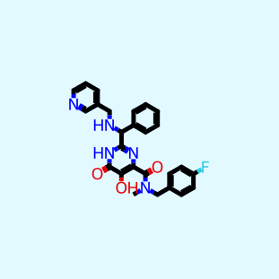 CN(Cc1ccc(F)cc1)C(=O)c1nc(C(NCc2cccnc2)c2ccccc2)[nH]c(=O)c1O